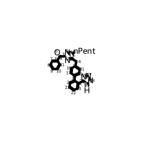 CCCCCn1nc(C(=O)c2ccccc2)nc1Cc1ccc(-c2ccccc2-c2nnn[nH]2)cc1